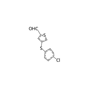 O=Cc1cc(Sc2ccc(Cl)cc2)cs1